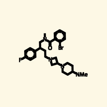 CNC1CCN(C2CN(CCC(CN(C)C(=O)c3ccccc3Br)c3ccc(F)cc3)C2)CC1